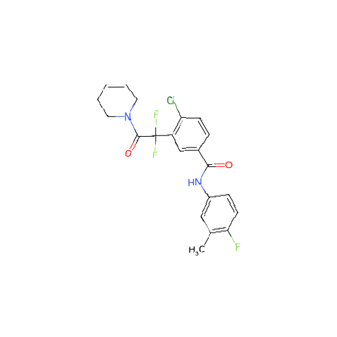 Cc1cc(NC(=O)c2ccc(Cl)c(C(F)(F)C(=O)N3CC=CCC3)c2)ccc1F